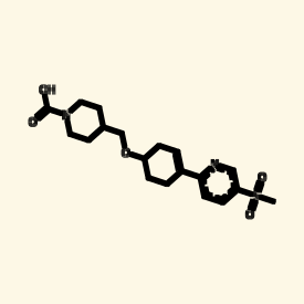 CS(=O)(=O)c1ccc(C2=CCC(OCC3CCN(C(=O)O)CC3)CC2)nc1